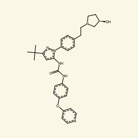 CC(C)(C)c1cc(NC(=O)Nc2ccc(Oc3ccncc3)cc2)n(-c2ccc(CCN3CC[C@@H](O)C3)cc2)n1